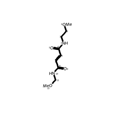 COCCNC(=O)C=CC(=O)NCOC